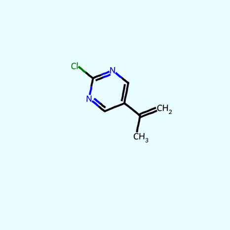 C=C(C)c1cnc(Cl)nc1